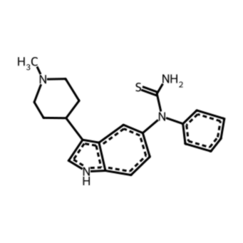 CN1CCC(c2c[nH]c3ccc(N(C(N)=S)c4ccccc4)cc23)CC1